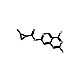 CC1CC1C(=O)Nc1cc2cc(Cl)nc(Cl)c2cn1